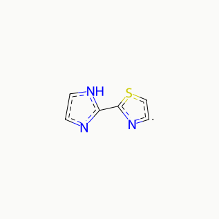 [c]1csc(-c2ncc[nH]2)n1